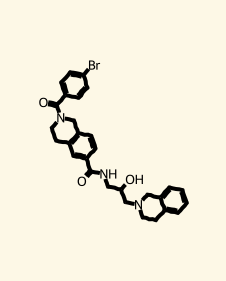 O=C(NCC(O)CN1CCc2ccccc2C1)c1ccc2c(c1)CCN(C(=O)c1ccc(Br)cc1)C2